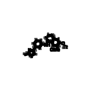 CCOc1cc2ncnc(Nc3cccc(-c4csc(C)n4)c3)c2cc1OC